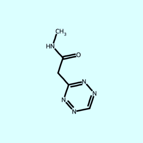 CNC(=O)Cc1nncnn1